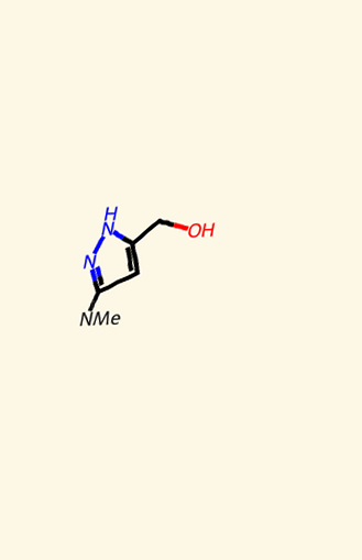 CNc1cc(CO)[nH]n1